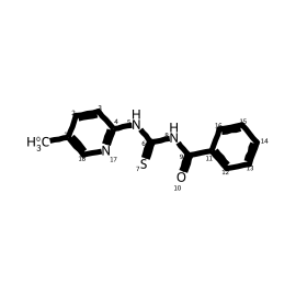 Cc1ccc(NC(=S)NC(=O)c2ccccc2)nc1